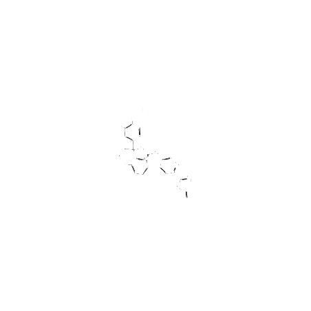 O=C(Nc1ccc(-c2noc(=O)[nH]2)nc1)NC1(c2ccc(OC(F)(F)F)c(F)c2)CCOc2cccnc21